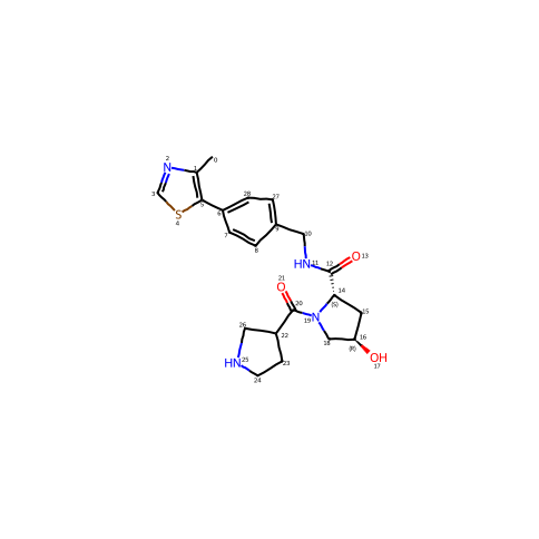 Cc1ncsc1-c1ccc(CNC(=O)[C@@H]2C[C@@H](O)CN2C(=O)C2CCNC2)cc1